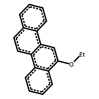 CCOc1cc2c3ccccc3ccc2c2ccccc12